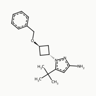 CC(C)(C)c1cc(N)nn1[C@H]1C[C@H](OCc2ccccc2)C1